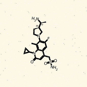 Cc1c(N2CC[C@@H]([C@H](C)N)C2)c(F)cc2c(CS(N)(=O)=O)cc(=O)n(C3CC3)c12